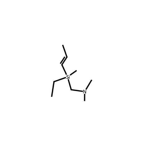 CC=C[Si](C)(CC)CN(C)C